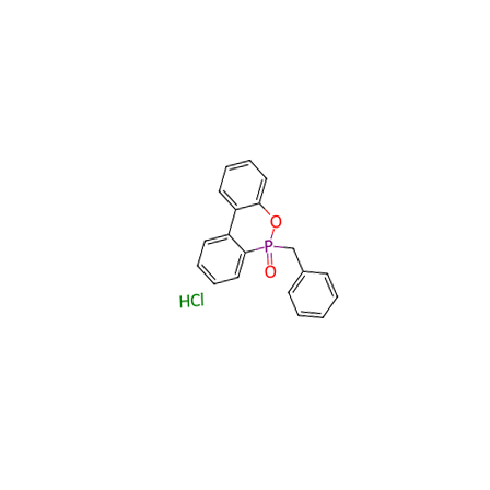 Cl.O=P1(Cc2ccccc2)Oc2ccccc2-c2ccccc21